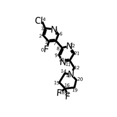 Fc1cc(Cl)ncc1-c1cnc(CN2CCC(F)(F)CC2)cn1